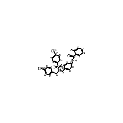 Cc1ccccc1C(=O)Nc1ccc(CN(Cc2ccc(Cl)cc2)S(=O)(=O)c2ccc(Cl)cc2)cc1